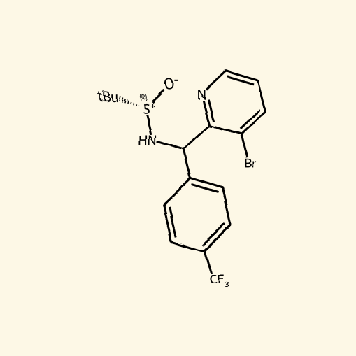 CC(C)(C)[S@+]([O-])NC(c1ccc(C(F)(F)F)cc1)c1ncccc1Br